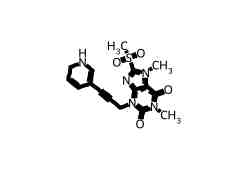 Cn1c(=O)c2c(nc(S(C)(=O)=O)n2C)n(CC#CC2=CNCC=C2)c1=O